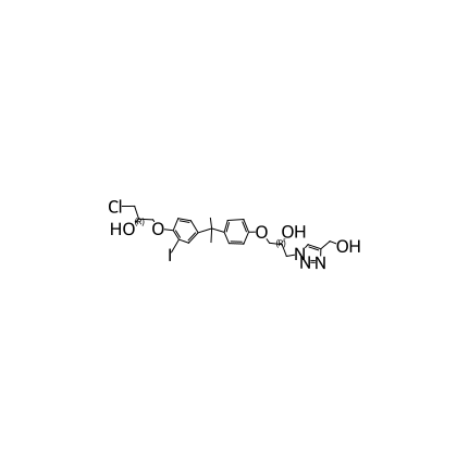 CC(C)(c1ccc(OC[C@H](O)Cn2cc(CO)nn2)cc1)c1ccc(OC[C@@H](O)CCl)c(I)c1